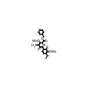 COc1c(C(=O)OCc2ccccc2)nc(-c2ccc(CI)c(OC)c2F)c(F)c1N